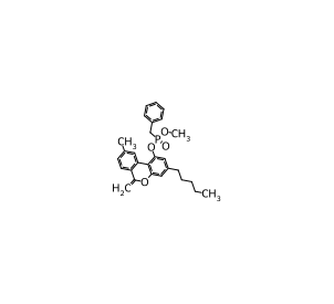 C=C1Oc2cc(CCCCC)cc(OP(=O)(Cc3ccccc3)OC)c2-c2cc(C)ccc21